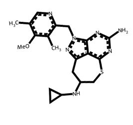 COc1c(C)cnc(Cn2nc3c4c(nc(N)nc42)SCC(NC2CC2)C3)c1C